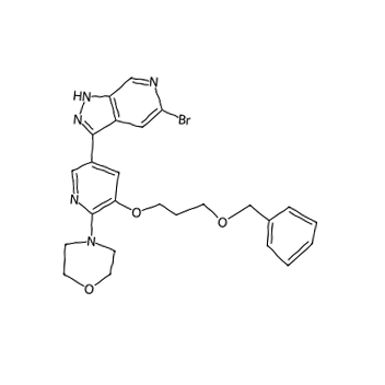 Brc1cc2c(-c3cnc(N4CCOCC4)c(OCCCOCc4ccccc4)c3)n[nH]c2cn1